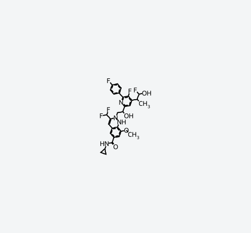 COc1cc(C(=O)NC2CC2)cc2c1NN(CC(O)c1cc(C(C)C(O)F)c(F)c(-c3ccc(F)cc3)n1)C(C(F)F)=C2